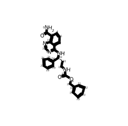 NC(=O)c1cccc2c(N[C@H](CCNC(=O)OCc3ccccc3)c3ccccc3)ncnc12